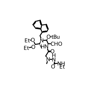 CCNC(=O)NN(C)CC(=O)NC(C=O)[C@H](OC(C)(C)C)N(Cc1cccc2ccccc12)[C@@H](C)C(OCC)OCC